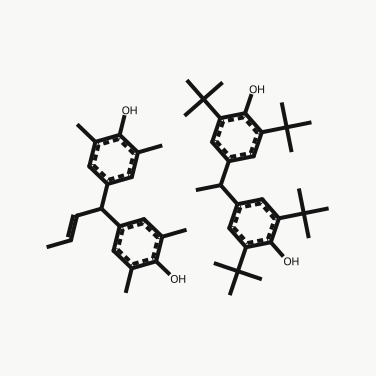 CC(c1cc(C(C)(C)C)c(O)c(C(C)(C)C)c1)c1cc(C(C)(C)C)c(O)c(C(C)(C)C)c1.CC=CC(c1cc(C)c(O)c(C)c1)c1cc(C)c(O)c(C)c1